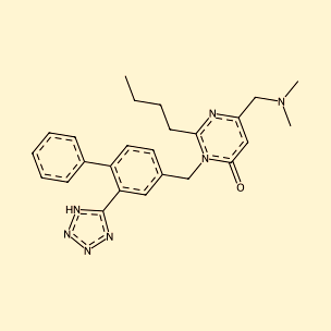 CCCCc1nc(CN(C)C)cc(=O)n1Cc1ccc(-c2ccccc2)c(-c2nnn[nH]2)c1